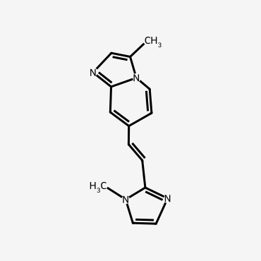 Cc1cnc2cc(/C=C/c3nccn3C)ccn12